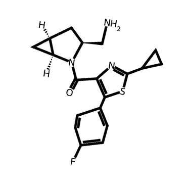 NC[C@@H]1C[C@@H]2C[C@@H]2N1C(=O)c1nc(C2CC2)sc1-c1ccc(F)cc1